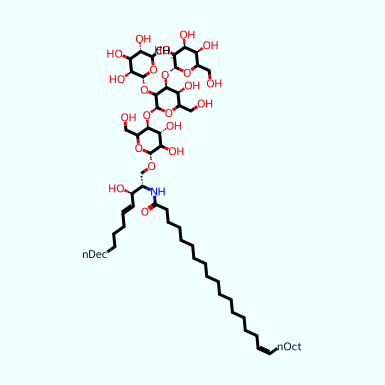 CCCCCCCC/C=C\CCCCCCCCCCCCCCCC(=O)N[C@@H](CO[C@@H]1OC(CO)[C@@H](O[C@@H]2OC(CO)[C@H](O)[C@H](O[C@H]3OC(CO)[C@H](O)[C@H](O)C3O)C2O[C@H]2OC(C)[C@@H](O)C(O)[C@@H]2O)[C@H](O)C1O)[C@H](O)/C=C/CCCCCCCCCCCCC